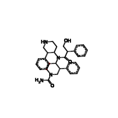 NC(=O)N1CCC(N(C(=O)C(CO)c2ccccc2)C2CCNCC2c2ccccc2)C(c2ccccc2)C1